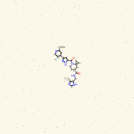 COc1cc(-c2cc(C(=O)N3CC[C@H](C(=O)NCc4[nH]cnc4C(F)(F)F)CC34CC4)[nH]n2)c(F)cn1